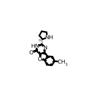 Cc1ccc2oc3c(=O)[nH]c([C@@H]4CCCN4)nc3c2c1